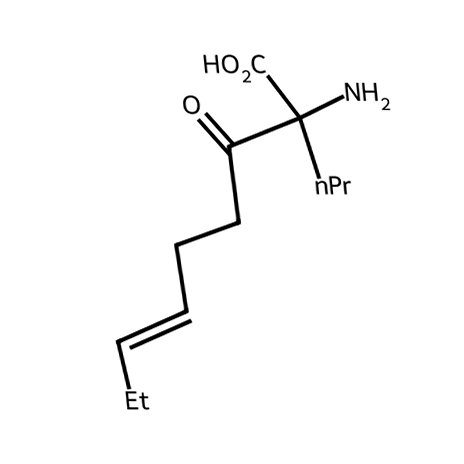 CCC=CCCC(=O)C(N)(CCC)C(=O)O